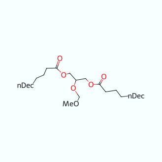 CCCCCCCCCCCCCC(=O)OCC(COC(=O)CCCCCCCCCCCCC)OCOC